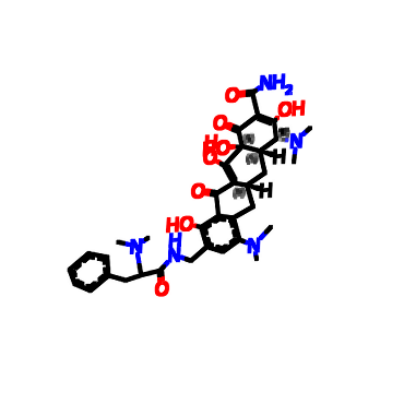 CN(C)c1cc(CNC(=O)C(Cc2ccccc2)N(C)C)c(O)c2c1C[C@H]1C[C@H]3[C@@H](N(C)C)C(O)=C(C(N)=O)C(=O)[C@@]3(O)C(O)=C1C2=O